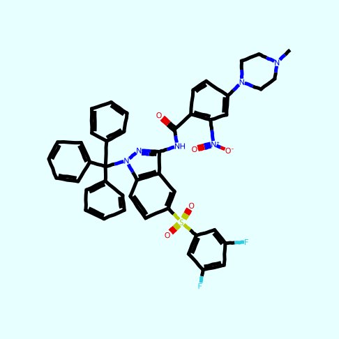 CN1CCN(c2ccc(C(=O)Nc3nn(C(c4ccccc4)(c4ccccc4)c4ccccc4)c4ccc(S(=O)(=O)c5cc(F)cc(F)c5)cc34)c([N+](=O)[O-])c2)CC1